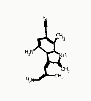 C=C1NC2C(C)=C(C#N)C=C(N)C2/C1=C/C(C)=C\N